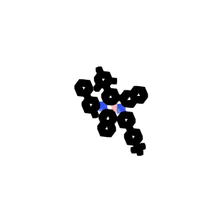 Cc1cc(C)c(-c2cc3c4c(c2)N(c2cc(-c5ccccc5)ccc2C)c2cc5ccccc5cc2B4N(c2ccc(-c4ccc(C(C)(C)C)cc4)cc2)c2cc4ccccc4cc2-3)c(C)c1